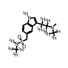 [2H]N(C([2H])([2H])[2H])S(=O)(=O)Cc1ccc2c(c1)c(C([2H])([2H])C([2H])([2H])N(C)C([2H])([2H])[2H])cn2[2H]